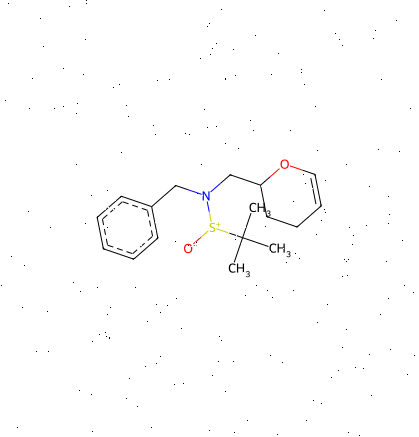 CC(C)(C)[S+]([O-])N(Cc1ccccc1)CC1CCC=CO1